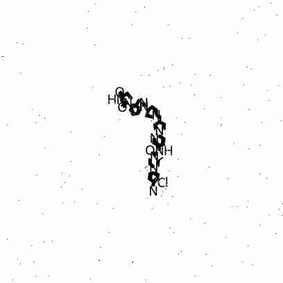 C[C@@H]1CN(C(=O)Nc2ccc(N3CCC(CN4CCC(n5ncc6c(N7CCC(=O)NC7=O)cccc65)CC4)CC3)nc2)[C@@H](C)CN1c1ccc(C#N)c(Cl)c1